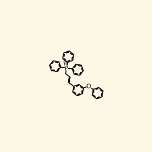 C(=Cc1cccc(Oc2ccccc2)c1)C[PH](c1ccccc1)(c1ccccc1)c1ccccc1